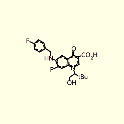 CC(C)(C)C(CO)n1cc(C(=O)O)c(=O)c2cc(NCc3ccc(F)cc3)c(F)cc21